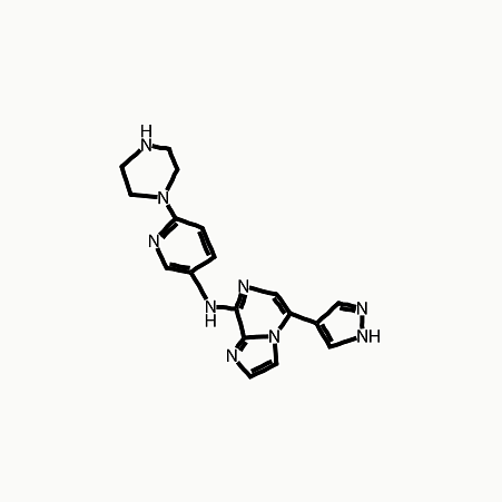 c1cn2c(-c3cn[nH]c3)cnc(Nc3ccc(N4CCNCC4)nc3)c2n1